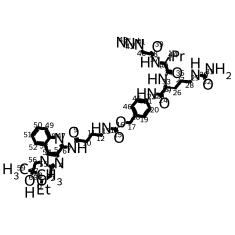 CCOCc1nc2c(NC(=O)CCCNC(=O)OCc3ccc(NC(=O)[C@H](CCCNC(N)=O)NC(=O)[C@@H](NC(=O)CN=[N+]=[N-])C(C)C)cc3)nc3ccccc3c2n1CC(C)(C)O